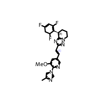 COc1cc(/C=C/c2nc3n(n2)CCC[C@@H]3C2=C(F)C=C(F)CC2F)cnc1-n1cnc(C)c1